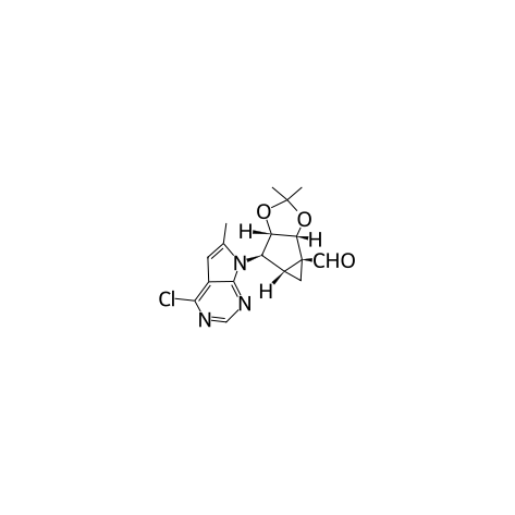 Cc1cc2c(Cl)ncnc2n1[C@H]1[C@@H]2OC(C)(C)O[C@@H]2[C@]2(C=O)C[C@H]12